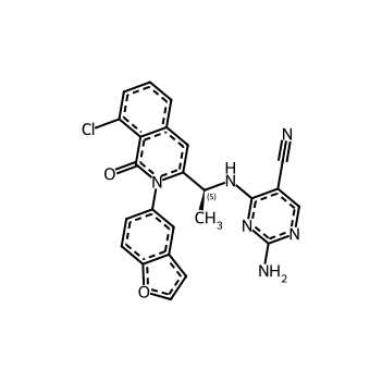 C[C@H](Nc1nc(N)ncc1C#N)c1cc2cccc(Cl)c2c(=O)n1-c1ccc2occc2c1